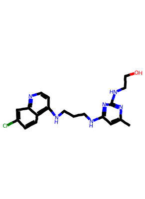 Cc1cc(NCCCNc2ccnc3cc(Cl)ccc23)nc(NCCO)n1